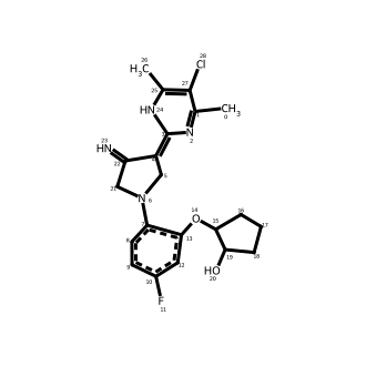 CC1=N/C(=C2\CN(c3ccc(F)cc3OC3CCCC3O)CC2=N)NC(C)=C1Cl